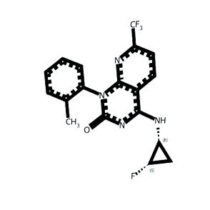 Cc1ccccc1-n1c(=O)nc(N[C@@H]2C[C@@H]2F)c2ccc(C(F)(F)F)nc21